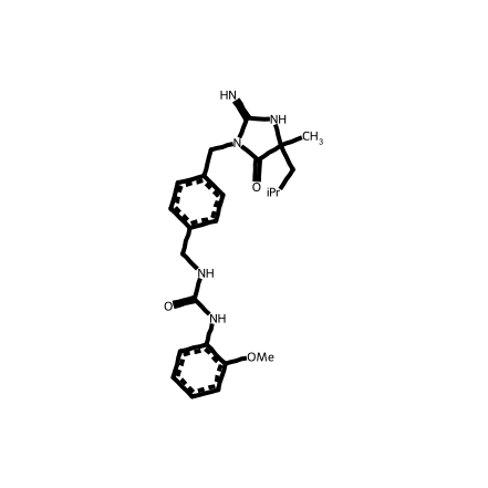 COc1ccccc1NC(=O)NCc1ccc(CN2C(=N)NC(C)(CC(C)C)C2=O)cc1